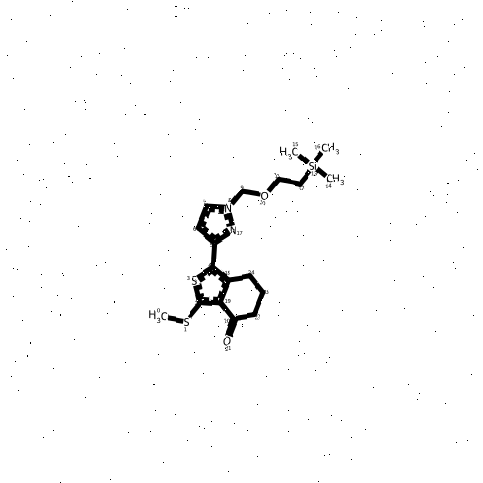 CSc1sc(-c2ccn(COCC[Si](C)(C)C)n2)c2c1C(=O)CCC2